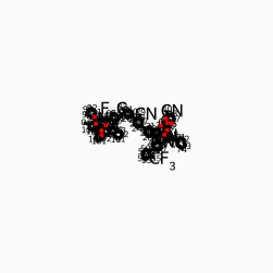 Cc1ccc(-c2ccc3c4ccccc4n(-c4cc(-c5cc(-c6ccc(-c7ccc8c(c7)c7cc(-c9cccc(C#N)c9)ccc7n8-c7cc(-c8ccccc8C(F)(F)F)ccc7-c7nc(-c8ccccc8)nc(-c8ccccc8)n7)cc6C#N)ccc5C(F)(F)F)ccc4-c4nc(-c5ccccc5)nc(-c5ccccc5)n4)c3c2)cc1